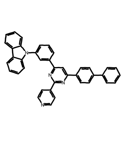 c1ccc(-c2ccc(-c3cc(-c4cccc(-n5c6ccccc6c6ccccc65)c4)nc(-c4ccncc4)n3)cc2)cc1